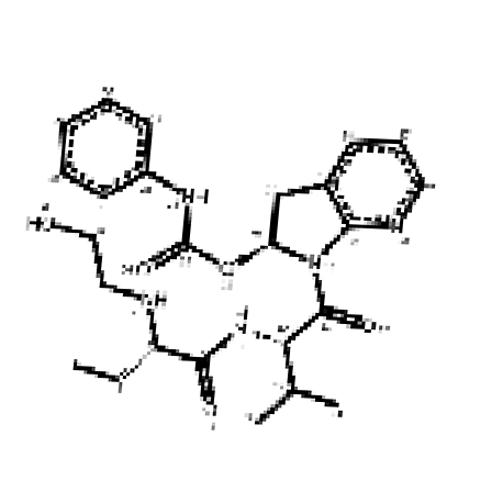 CC[C@H](NCCO)C(=O)N[C@H](C(=O)N1c2ncccc2C[C@@H]1OC(=O)Nc1ccccc1)C(C)C